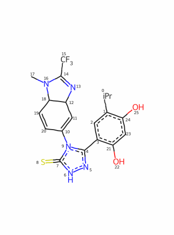 CC(C)c1cc(-c2n[nH]c(=S)n2C2=CC3N=C(C(F)(F)F)N(C)C3C=C2)c(O)cc1O